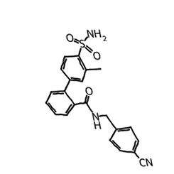 Cc1cc(-c2ccccc2C(=O)NCc2ccc(C#N)cc2)ccc1S(N)(=O)=O